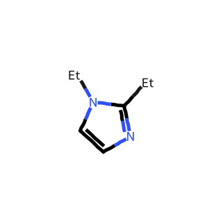 [CH2]Cn1ccnc1CC